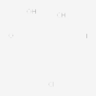 Cc1c(I)cc(Cl)cc1C(=O)O